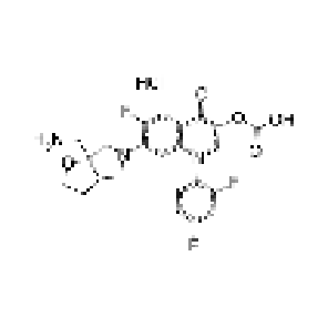 Cl.NCC12CN(c3cc4c(cc3F)c(=O)c(OC(=O)O)cn4-c3ccc(F)cc3F)CC1CCO2